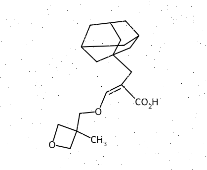 CC1(COC=C(CC23CC4CC(CC(C4)C2)C3)C(=O)O)COC1